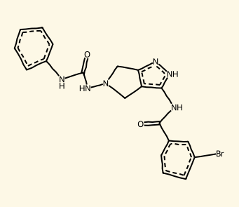 O=C(Nc1ccccc1)NN1Cc2n[nH]c(NC(=O)c3cccc(Br)c3)c2C1